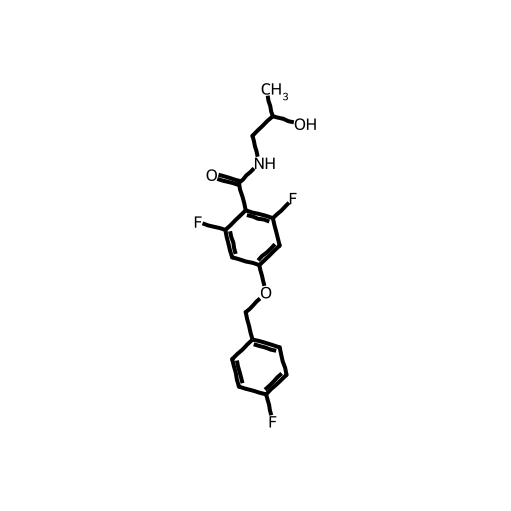 CC(O)CNC(=O)c1c(F)cc(OCc2ccc(F)cc2)cc1F